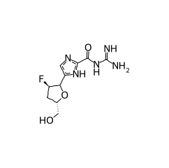 N=C(N)NC(=O)c1ncc(C2O[C@H](CO)C[C@H]2F)[nH]1